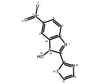 O=[N+]([O-])c1ccc2nc(-c3nccs3)n(O)c2c1